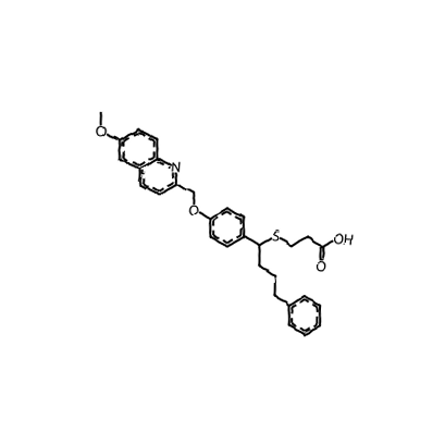 COc1ccc2nc(COc3ccc(C(CCCc4ccccc4)SCCC(=O)O)cc3)ccc2c1